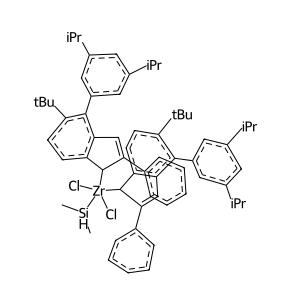 CC(C)c1cc(-c2c(C(C)(C)C)ccc3c2C=C(c2ccccc2)[CH]3[Zr]([Cl])([Cl])([CH]2C(c3ccccc3)=Cc3c2ccc(C(C)(C)C)c3-c2cc(C(C)C)cc(C(C)C)c2)[SiH](C)C)cc(C(C)C)c1